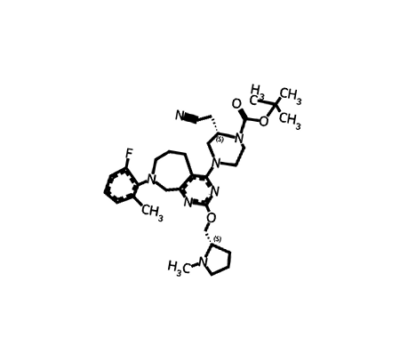 Cc1cccc(F)c1N1CCCc2c(nc(OC[C@@H]3CCCN3C)nc2N2CCN(C(=O)OC(C)(C)C)[C@@H](CC#N)C2)C1